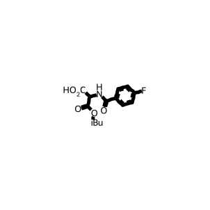 CCC(C)OC(=O)C(NC(=O)c1ccc(F)cc1)C(=O)O